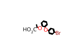 CC(Oc1ccccc1Oc1ccc(Br)cc1)C(=O)O